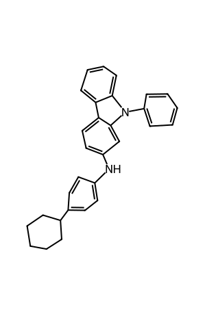 c1ccc(-n2c3ccccc3c3ccc(Nc4ccc(C5CCCCC5)cc4)cc32)cc1